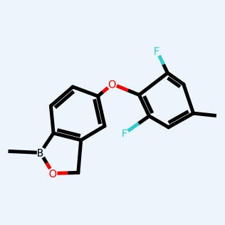 CB1OCc2cc(Oc3c(F)cc(C)cc3F)ccc21